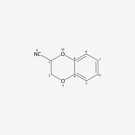 N#CC1COc2c[c]ccc2O1